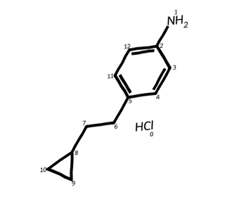 Cl.Nc1ccc(CCC2CC2)cc1